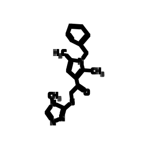 Cc1cc(C(=O)CSc2nncn2C)c(C)n1Cc1ccccc1